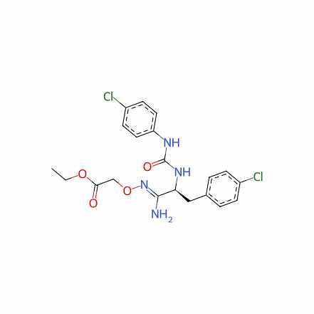 CCOC(=O)CO/N=C(\N)[C@H](Cc1ccc(Cl)cc1)NC(=O)Nc1ccc(Cl)cc1